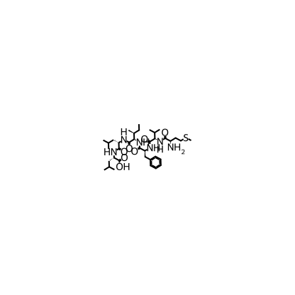 CC[C@H](C)[C@H](NC(=O)[C@H](Cc1ccccc1)NC(=O)[C@@H](NC(=O)[C@@H](N)CCSC)C(C)C)C(=O)N[C@@H](CC(C)C)C(=O)N[C@@H](CC(C)C)C(=O)O